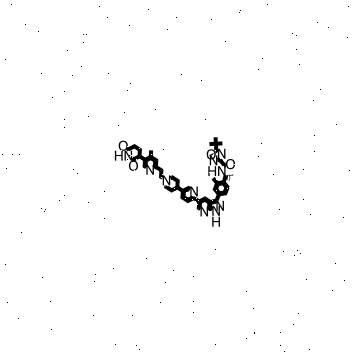 Cc1cc(CCN2CCC(c3ccc(-c4cnc5[nH]nc(-c6ccc([C@@H](C)NC(=O)c7noc(C(C)(C)C)n7)c(C)c6)c5c4)nc3)CC2)ncc1C1CCC(=O)NC1=O